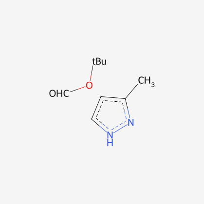 CC(C)(C)OC=O.Cc1cc[nH]n1